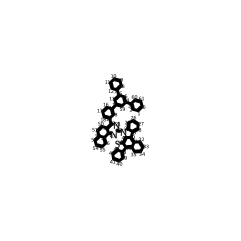 c1ccc(-c2cc(-c3ccccc3)cc(-c3cccc(-c4nc(-n5c6ccccc6c6c7ccccc7c7c8ccccc8sc7c65)nc5c4ccc4ccccc45)c3)c2)cc1